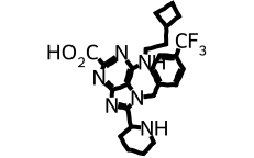 O=C(O)c1nc(NCCC2CCC2)c2c(n1)nc(C1CCCCN1)n2Cc1ccc(C(F)(F)F)cc1